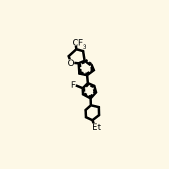 CCC1CCC(c2ccc(-c3ccc4c(c3)OCC(C(F)(F)F)C4)c(F)c2)CC1